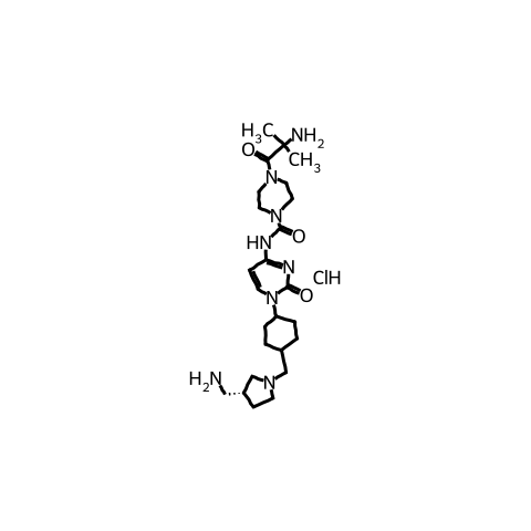 CC(C)(N)C(=O)N1CCN(C(=O)Nc2ccn(C3CCC(CN4CC[C@H](CN)C4)CC3)c(=O)n2)CC1.Cl